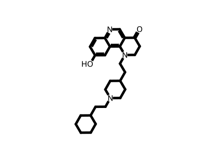 O=C1CCN(CCC2CCN(CCC3CCCCC3)CC2)c2c1cnc1ccc(O)cc21